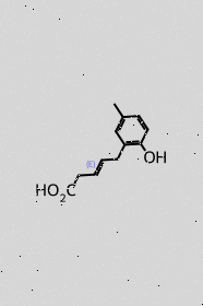 Cc1ccc(O)c(C/C=C/CC(=O)O)c1